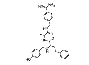 C[C@H](NC(=O)[C@@H](CCc1ccccc1)NCc1ccc(O)cc1)C(=O)NCc1ccc(C(=N)N)cc1